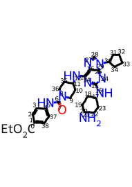 CCOC(=O)c1ccc(NC(=O)N2CCC(Nc3nc(NC4CCC(N)CC4)nc4c3ncn4C3CCCC3)CC2)cc1